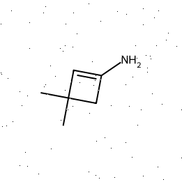 CC1(C)C=C(N)C1